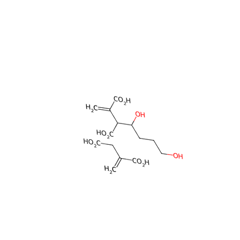 C=C(C(=O)O)C(C(=O)O)C(O)CCCO.C=C(CC(=O)O)C(=O)O